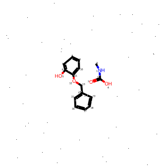 CNC(=O)O.Oc1ccccc1OCc1ccccc1